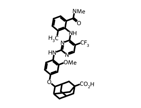 CNC(=O)c1cccc(C)c1Nc1nc(Nc2ccc(OC3C4CC5CC3CC(C(=O)O)(C5)C4)cc2OC)ncc1C(F)(F)F